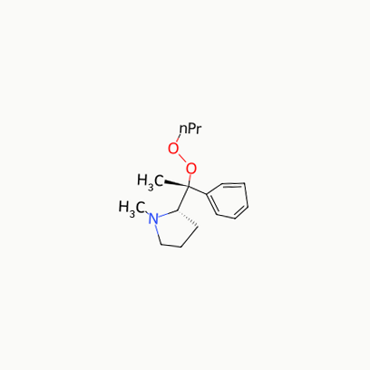 CCCOO[C@](C)(c1ccccc1)[C@@H]1CCCN1C